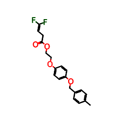 Cc1ccc(COc2ccc(OCCOC(=O)CC=C(F)F)cc2)cc1